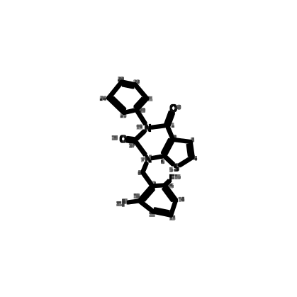 O=c1c2ccsc2n(Cc2c(F)cccc2F)c(=O)n1-c1ccccc1